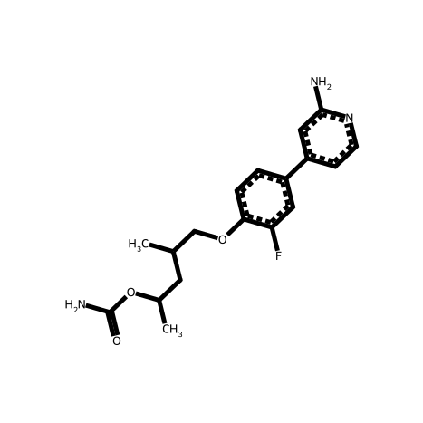 CC(COc1ccc(-c2ccnc(N)c2)cc1F)CC(C)OC(N)=O